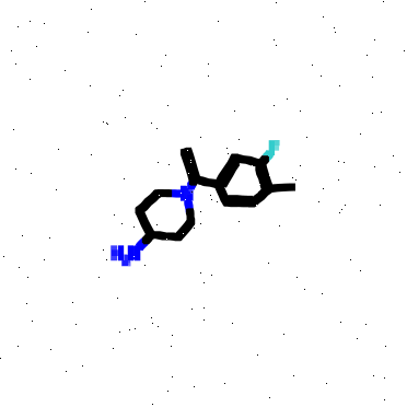 C=C(c1ccc(C)c(F)c1)N1CCC(N)CC1